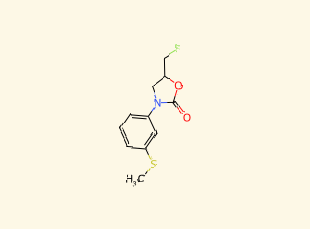 CSc1cccc(N2CC(CF)OC2=O)c1